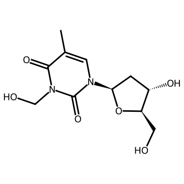 Cc1cn([C@H]2C[C@H](O)[C@@H](CO)O2)c(=O)n(CO)c1=O